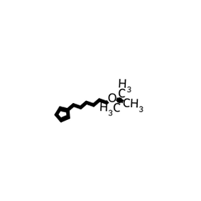 CC(C)(C)OCCCCCCC1=CCC=C1